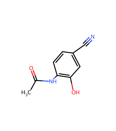 CC(=O)Nc1ccc(C#N)cc1O